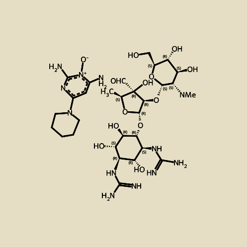 CN[C@@H]1[C@H](O[C@H]2[C@H](O[C@H]3[C@H](O)[C@@H](O)[C@H](NC(=N)N)[C@@H](O)[C@@H]3NC(=N)N)O[C@@H](C)[C@]2(O)C=O)O[C@@H](CO)[C@H](O)[C@H]1O.Nc1cc(N2CCCCC2)nc(N)[n+]1[O-]